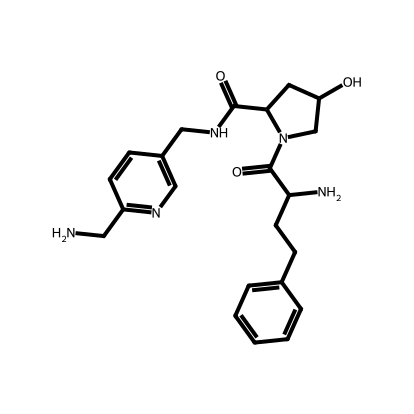 NCc1ccc(CNC(=O)C2CC(O)CN2C(=O)C(N)CCc2ccccc2)cn1